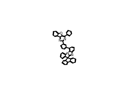 c1ccc(-c2nc(-c3cccc(-c4cccc5nc6n(c45)-c4ccccc4C64c5ccccc5-c5ccccc54)c3)nc3c2oc2ccccc23)cc1